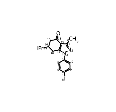 Cc1nn(-c2ccc(I)cc2)c2c1C(=O)CC(C(C)C)C2